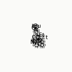 CCOC(=O)c1cnn(-c2cccc(-c3cccc4c3[C@@H](Oc3ccc(C5CCN(C(=O)OC(C)(C)C)CC5)c(CC)c3)CC4)n2)c1C(C)C